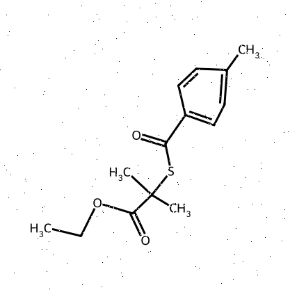 CCOC(=O)C(C)(C)SC(=O)c1ccc(C)cc1